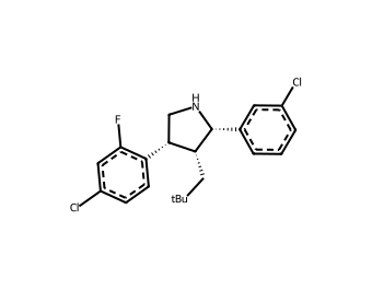 CC(C)(C)C[C@H]1[C@@H](c2cccc(Cl)c2)NC[C@H]1c1ccc(Cl)cc1F